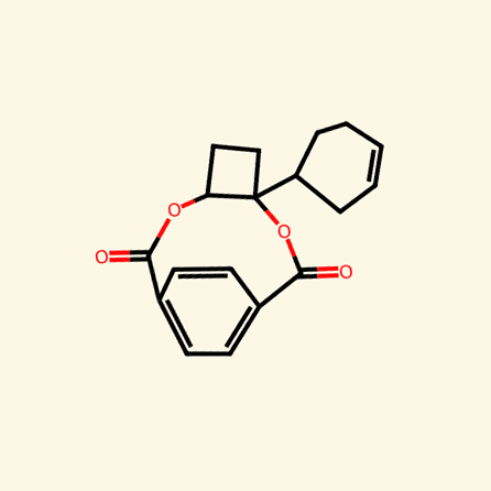 O=C1OC2CCC2(C2CC=CCC2)OC(=O)c2ccc1cc2